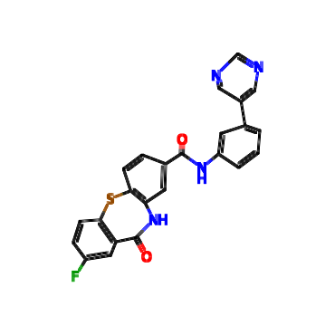 O=C(Nc1cccc(-c2cncnc2)c1)c1ccc2c(c1)NC(=O)c1cc(F)ccc1S2